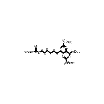 CCCCCCCCC(OC(=O)CCCCC)C(CCCCCCCCOC(=O)CCCCC)OC(=O)CCCCC